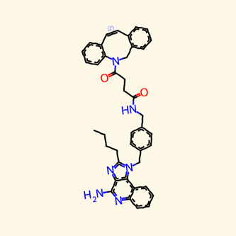 CCCCc1nc2c(N)nc3ccccc3c2n1Cc1ccc(CNC(=O)CCC(=O)N2Cc3ccccc3/C=C\c3ccccc32)cc1